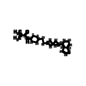 CN(C)C(=O)NC1CCC(CCN2CC3(C2)CN(c2cccc4sccc24)C3)CC1